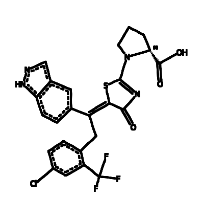 O=C1N=C(N2CCC[C@@H]2C(=O)O)SC1=C(Cc1ccc(Cl)cc1C(F)(F)F)c1ccc2[nH]ncc2c1